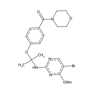 COc1nc(NC(C)(C)Oc2ccc(C(=O)N3CCOCC3)cc2)ncc1Br